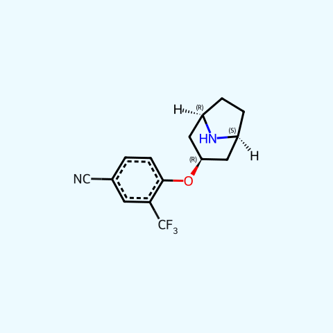 N#Cc1ccc(O[C@H]2C[C@H]3CC[C@@H](C2)N3)c(C(F)(F)F)c1